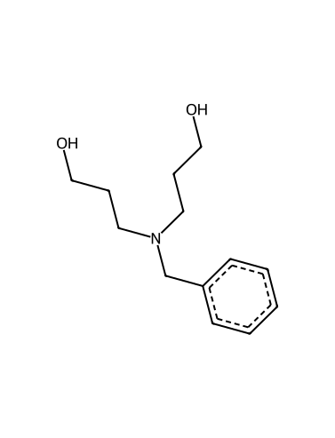 OCCCN(CCCO)Cc1ccccc1